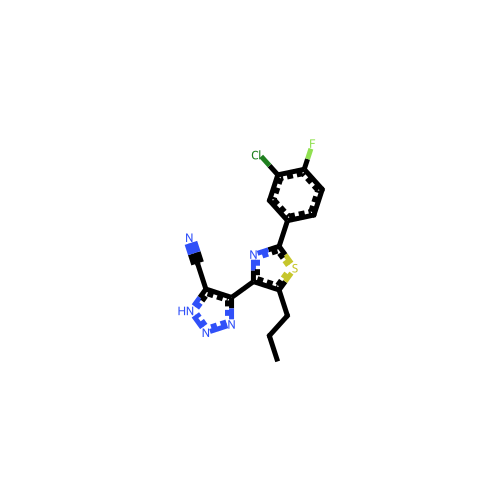 CCCc1sc(-c2ccc(F)c(Cl)c2)nc1-c1nn[nH]c1C#N